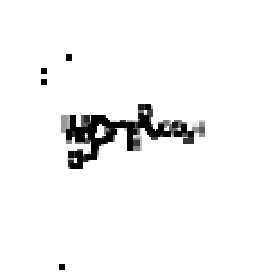 NCN(CNC(=O)CC(=O)O)CC(O)CCl